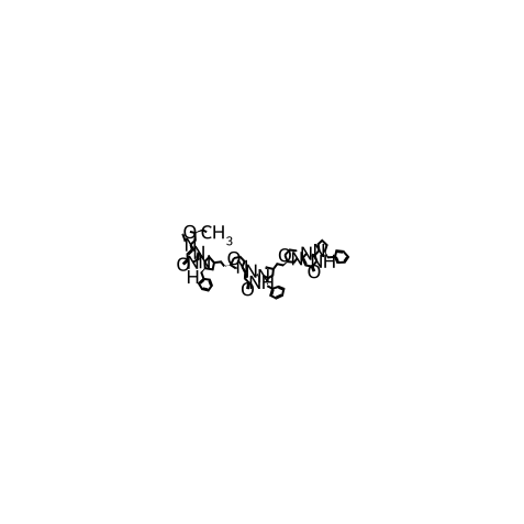 CC[C@H]1CN(c2cc(=O)[nH]c(N3CC(CC[C@H]4CN(c5cc(=O)[nH]c(N6CC(CC[C@@H]7CN(c8cc(=O)[nH]c(N9CCC[C@H]9Cc9ccccc9)n8)CCO7)C[C@@H]6Cc6ccccc6)n5)CCO4)C[C@H]3Cc3ccccc3)n2)CCO1